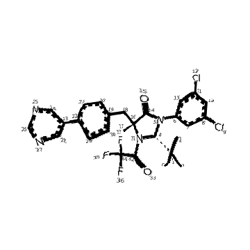 CC(C)(C)[C@H]1N(c2cc(Cl)cc(Cl)c2)C(=O)[C@@](C)(Cc2ccc(-c3cncnc3)cc2)N1C(=O)C(F)(F)F